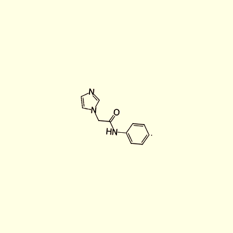 O=C(Cn1ccnc1)Nc1cc[c]cc1